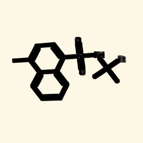 CCC(C)(C)NS(=O)(=O)c1ccc(C)c2ccccc12